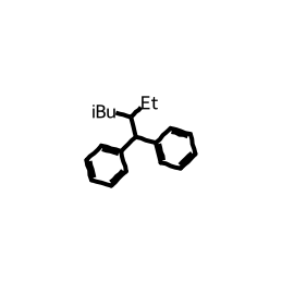 CCC(C)C(CC)C(c1ccccc1)c1ccccc1